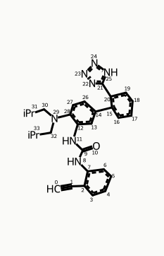 C#Cc1ccccc1NC(=O)Nc1cc(-c2ccccc2-c2nnn[nH]2)ccc1N(CC(C)C)CC(C)C